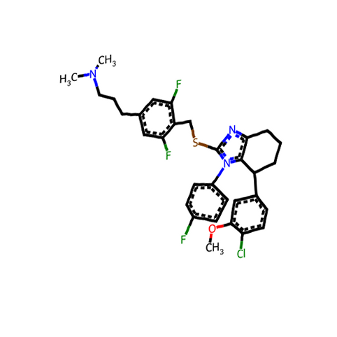 COc1cc(C2CCCc3nc(SCc4c(F)cc(CCCN(C)C)cc4F)n(-c4ccc(F)cc4)c32)ccc1Cl